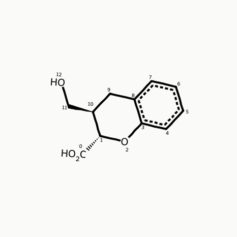 O=C(O)[C@H]1Oc2ccccc2C[C@@H]1CO